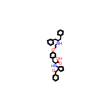 O=C(c1ccccc1)c1ccccc1NC(Cc1ccc(OCCNC(Cc2ccccc2)Cc2ccccc2)cc1)C(=O)O